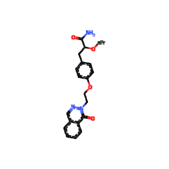 CCCOC(Cc1ccc(OCCn2ncc3ccccc3c2=O)cc1)C(N)=O